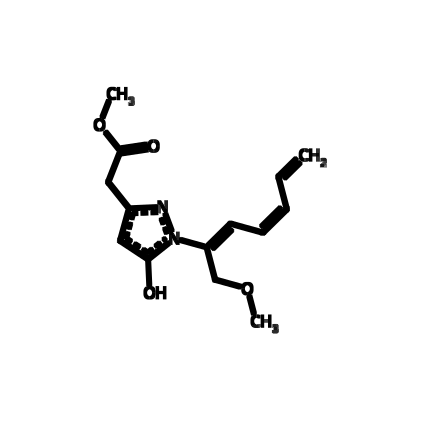 C=C/C=C\C=C(/COC)n1nc(CC(=O)OC)cc1O